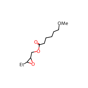 CCC1OC1COC(=O)CCCCCOC